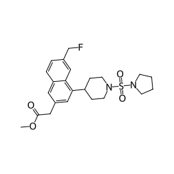 COC(=O)Cc1cc(C2CCN(S(=O)(=O)N3CCCC3)CC2)c2cc(CF)ccc2c1